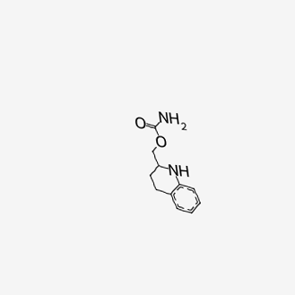 NC(=O)OCC1CCc2ccccc2N1